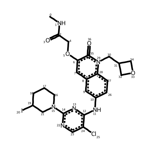 CNC(=O)COc1cc2cc(Nc3nc(N4CCCC(I)C4)ncc3Cl)ccc2n(CC2COC2)c1=O